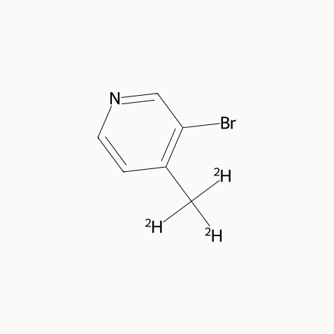 [2H]C([2H])([2H])c1ccncc1Br